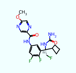 COc1cnc(C(=O)Nc2cc(F)c(F)c([C@@](CF)(NC(N)=O)C3CCC3)c2)cn1